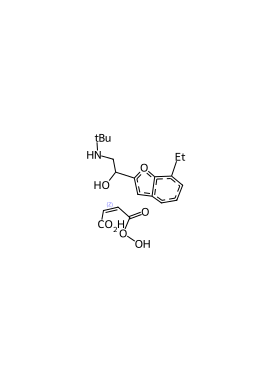 CCc1cccc2cc(C(O)CNC(C)(C)C)oc12.O=C(O)/C=C\C(=O)OO